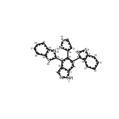 [c]1n[nH]c2cc(-c3nsc4ccccc34)c(-c3ccsn3)c(-c3nc4ccccc4s3)c12